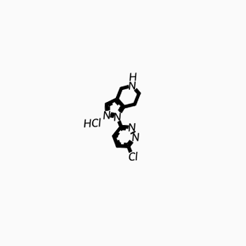 Cl.Clc1ccc(-n2ncc3c2CCNC3)nn1